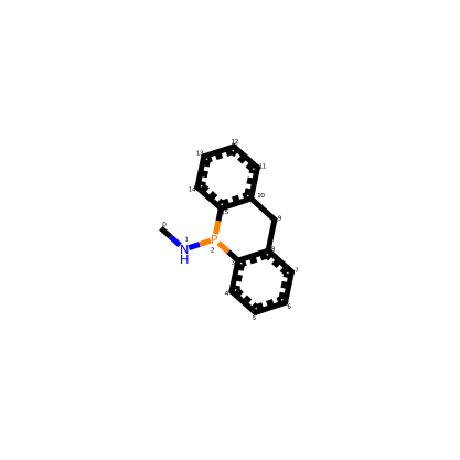 CNP1c2ccccc2Cc2ccccc21